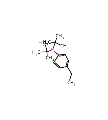 CCc1ccc(P(C(C)(C)C)C(C)(C)C)cc1